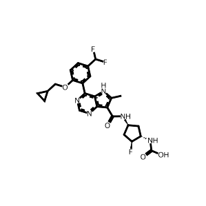 Cc1[nH]c2c(-c3cc(C(F)F)ccc3OCC3CC3)ncnc2c1C(=O)N[C@H]1C[C@H](NC(=O)O)[C@@H](F)C1